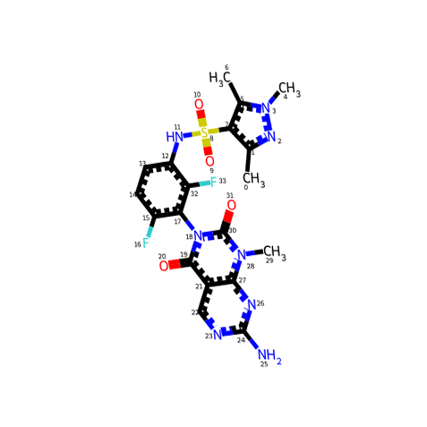 Cc1nn(C)c(C)c1S(=O)(=O)Nc1ccc(F)c(-n2c(=O)c3cnc(N)nc3n(C)c2=O)c1F